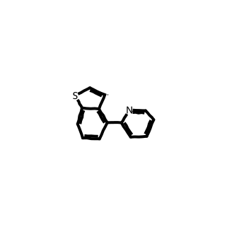 [c]1csc2cccc(-c3ccccn3)c12